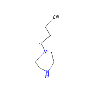 N#CCC[CH]N1CCNCC1